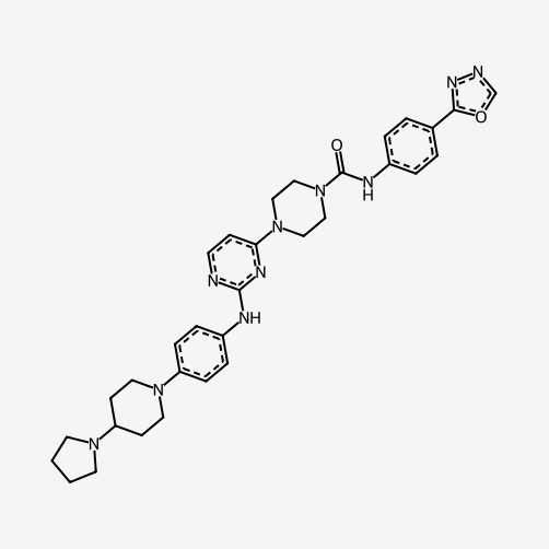 O=C(Nc1ccc(-c2nnco2)cc1)N1CCN(c2ccnc(Nc3ccc(N4CCC(N5CCCC5)CC4)cc3)n2)CC1